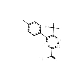 Cc1ccc(-c2nc(C(=O)O)nnc2C(F)(F)F)cc1